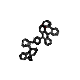 c1ccc(-c2ccccc2-c2c3ccccc3c(-c3ccc(-c4ccccc4-c4cccc5oc6ccccc6c45)cc3)c3ccccc23)cc1